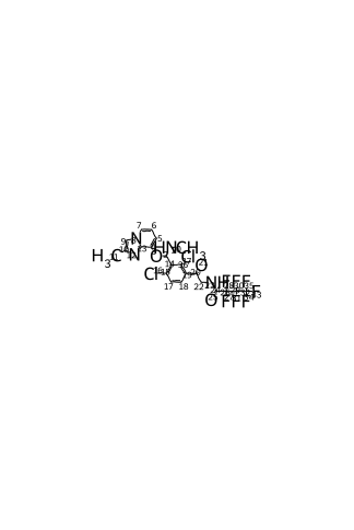 CNC(Oc1cccn2cc(C)nc12)c1c(Cl)ccc(C(=O)CNC(=O)C(F)(F)C(F)(F)C(F)(F)F)c1Cl